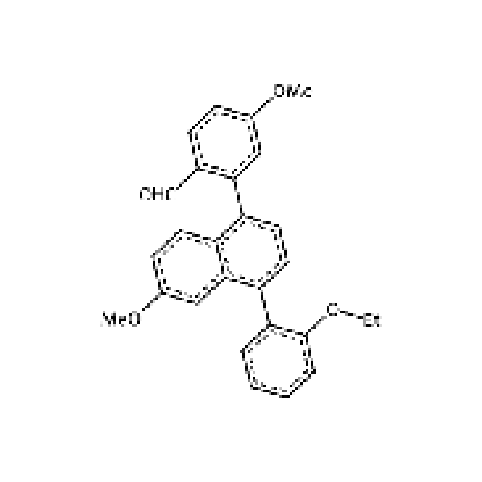 CCOc1ccccc1-c1ccc(-c2cc(OC)ccc2C=O)c2ccc(OC)cc12